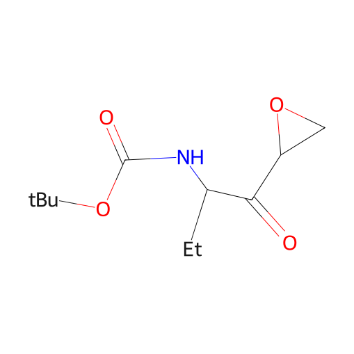 CCC(NC(=O)OC(C)(C)C)C(=O)C1CO1